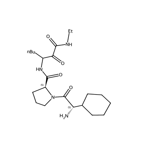 CCCCC(NC(=O)[C@@H]1CCCN1C(=O)[C@@H](N)C1CCCCC1)C(=O)C(=O)NCC